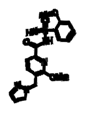 COc1ccccc1S(=N)(=O)NC(=O)c1ccc(Cn2cccn2)c(OC)n1